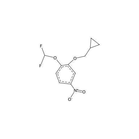 O=[N+]([O-])c1ccc(OC(F)F)c(OCC2CC2)c1